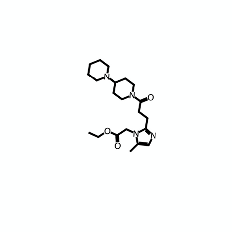 CCOC(=O)Cn1c(C)cnc1CCC(=O)N1CCC(N2CCCCC2)CC1